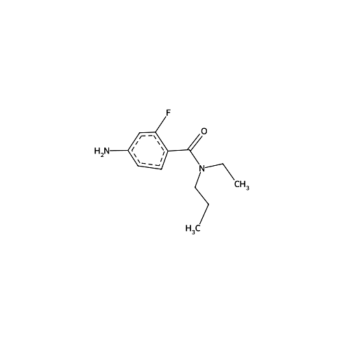 CCCN(CC)C(=O)c1ccc(N)cc1F